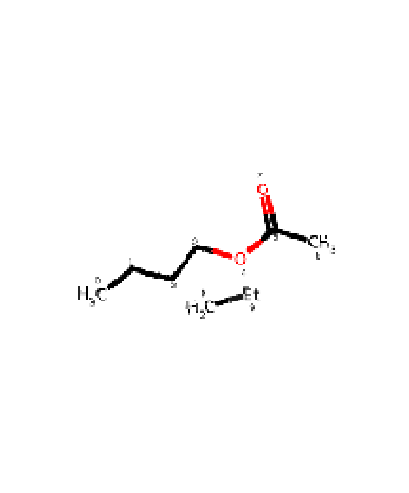 CCCCOC(C)=O.[CH2]CC